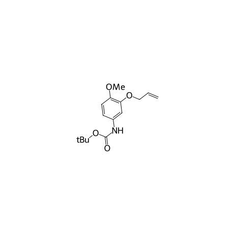 C=CCOc1cc(NC(=O)OC(C)(C)C)ccc1OC